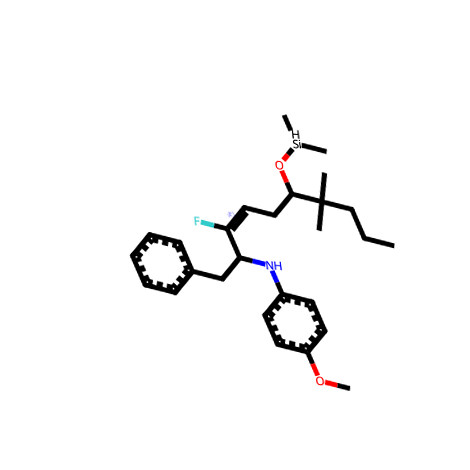 CCCC(C)(C)C(C/C=C(/F)C(Cc1ccccc1)Nc1ccc(OC)cc1)O[SiH](C)C